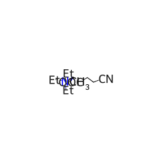 CC[N+](C)(CC)CC.N#CCCC(=O)[O-]